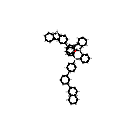 c1cc(-c2ccc(N(c3ccc(-c4ccc5sc6ccccc6c5c4)cc3)c3ccccc3-n3c4ccccc4c4ccccc43)cc2)cc(-c2ccc3ccccc3c2)c1